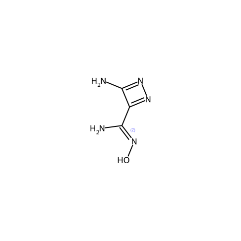 NC1=NN=C1/C(N)=N/O